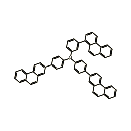 c1cc(-c2cccc3c2ccc2ccccc23)cc(N(c2ccc(-c3ccc4c(ccc5ccccc54)c3)cc2)c2ccc(-c3ccc4c(ccc5ccccc54)c3)cc2)c1